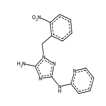 Nc1nc(Nc2ccccn2)nn1Cc1ccccc1[N+](=O)[O-]